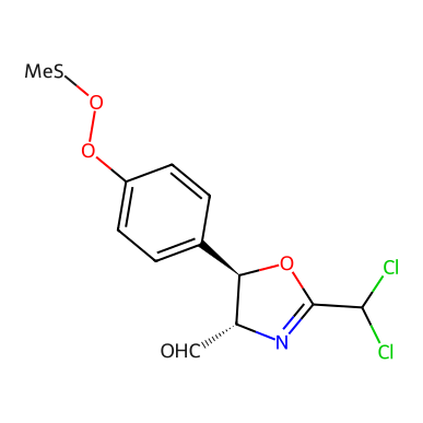 CSOOc1ccc([C@H]2OC(C(Cl)Cl)=N[C@@H]2C=O)cc1